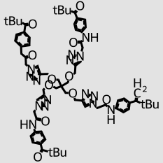 C=C(c1ccc(NC(=O)Cn2cc(COCC(COCc3cn(CC(=O)Cc4ccc(C(=O)C(C)(C)C)cc4)nn3)(COCc3cn(CC(=O)Nc4ccc(C(=O)C(C)(C)C)cc4)nn3)COCc3cn(CC(=O)Nc4ccc(C(=O)C(C)(C)C)cc4)nn3)nn2)cc1)C(C)(C)C